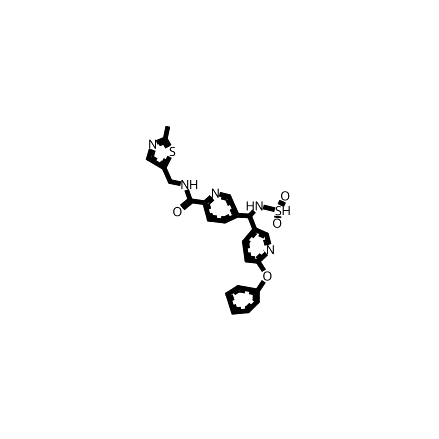 Cc1ncc(CNC(=O)c2ccc(C(N[SH](=O)=O)c3ccc(Oc4ccccc4)nc3)cn2)s1